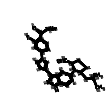 CNC(=O)c1ccc(-n2cc(-c3n[nH]c4cnc(N5C(C=O)CCC5CN(C)C)nc34)cn2)cc1F